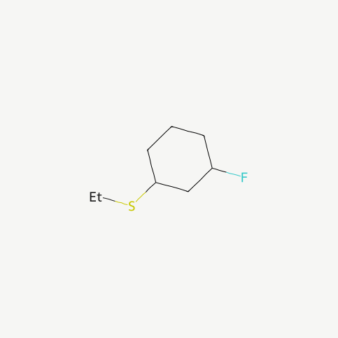 CCSC1CCCC(F)C1